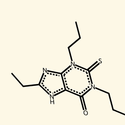 CCCn1c(=O)c2[nH]c(CC)nc2n(CCC)c1=S